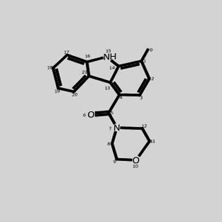 Cc1ccc(C(=O)N2CCOCC2)c2c1[nH]c1ccccc12